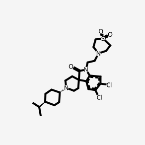 CC(C)[C@H]1CC[C@H](N2CCC3(CC2)C(=O)N(CCN2CCS(=O)(=O)CC2)c2cc(Cl)c(Cl)cc23)CC1